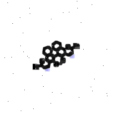 CCC(=O)/C=C\c1cc2c(c3c1OCOC1=C3C3=C(CCCC3)CC1/C=C\C(=O)CC)CCCC2